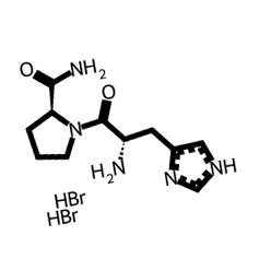 Br.Br.NC(=O)[C@@H]1CCCN1C(=O)[C@@H](N)Cc1c[nH]cn1